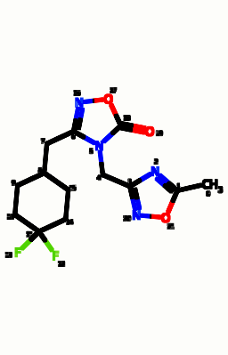 Cc1nc(Cn2c(CC3CCC(F)(F)CC3)noc2=O)no1